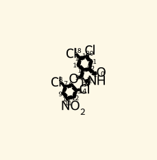 O=c1[nH]nc(Oc2c(Cl)cc([N+](=O)[O-])cc2Cl)c2cc(Cl)c(Cl)cc12